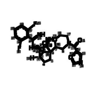 CC1(C)[C@H]2CC[C@]1([C@@H]1CN(C(=O)c3cnco3)CCO1)C(=N)/C2=C\C(=N)c1c(F)cccc1F